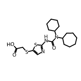 O=C(O)CSc1cnc(NC(=O)N(C2CCCCCC2)C2CCCCC2)s1